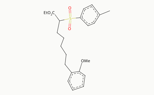 CCOC(=O)C(CCCCCc1ccccc1OC)S(=O)(=O)c1ccc(C)cc1